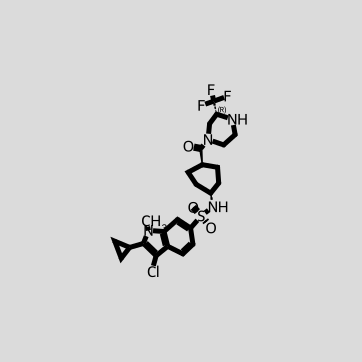 Cn1c(C2CC2)c(Cl)c2ccc(S(=O)(=O)N[C@H]3CC[C@H](C(=O)N4CCN[C@@H](C(F)(F)F)C4)CC3)cc21